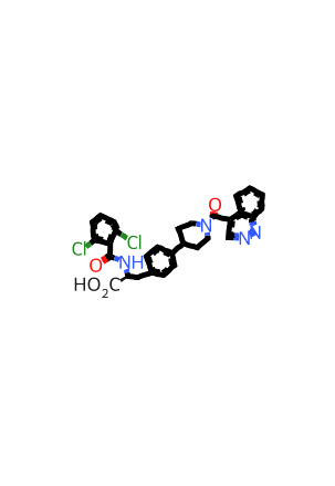 O=C(N[C@@H](Cc1ccc(C2CCN(C(=O)c3cnnc4ccccc34)CC2)cc1)C(=O)O)c1c(Cl)cccc1Cl